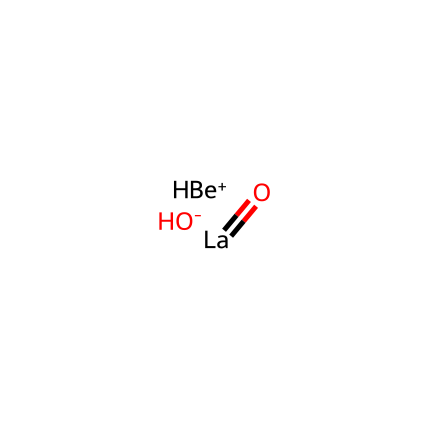 [BeH+].[OH-].[O]=[La]